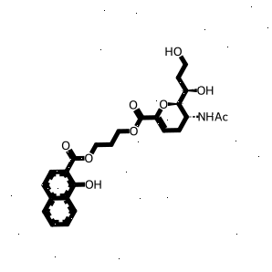 CC(=O)N[C@@H]1CC=C(C(=O)OCCCOC(=O)c2ccc3ccccc3c2O)O[C@H]1[C@H](O)CCO